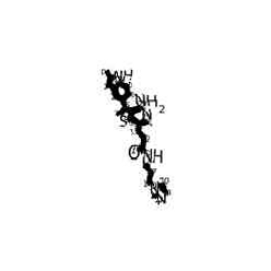 Cc1cc2cc(-c3csc4c(/C=C/C(=O)NCCCn5ccnc5)cnc(N)c34)ccc2[nH]1